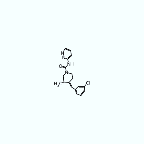 CC1CN(C(=O)Nc2cccnn2)CC/C1=C\c1cccc(Cl)c1